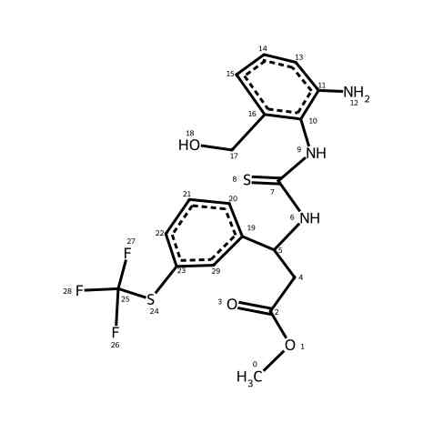 COC(=O)CC(NC(=S)Nc1c(N)cccc1CO)c1cccc(SC(F)(F)F)c1